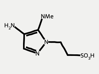 CNc1c(N)cnn1CCS(=O)(=O)O